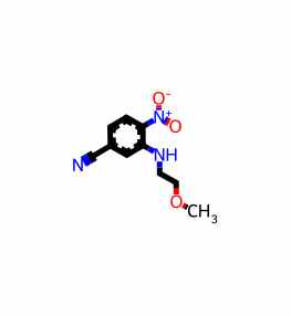 COCCNc1cc(C#N)ccc1[N+](=O)[O-]